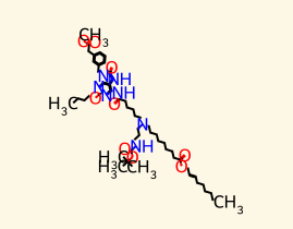 CCCCCC/C=C/COC(=O)CCCCCCCCN(CCCCCC(=O)Nc1nc(OCCCC)nc2c1[nH]c(=O)n2Cc1cccc(CC(=O)OC)c1)CCCNC(=O)OC(C)(C)C